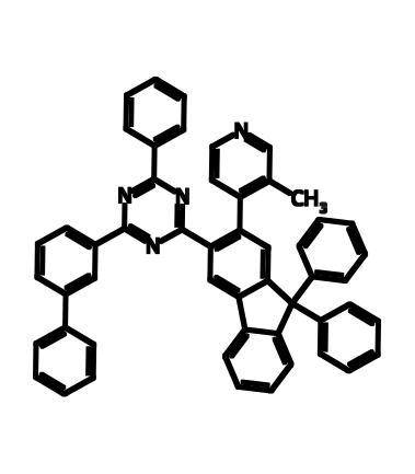 Cc1cnccc1-c1cc2c(cc1-c1nc(-c3ccccc3)nc(-c3cccc(-c4ccccc4)c3)n1)-c1ccccc1C2(c1ccccc1)c1ccccc1